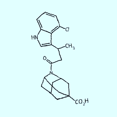 CC(CC(=O)N1C2CC3CC1CC(C(=O)O)(C3)C2)c1c[nH]c2cccc(Cl)c12